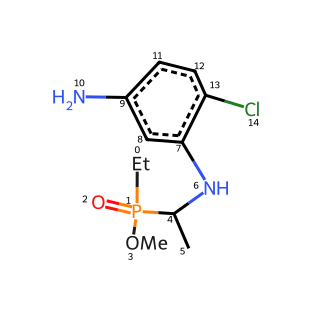 CCP(=O)(OC)C(C)Nc1cc(N)ccc1Cl